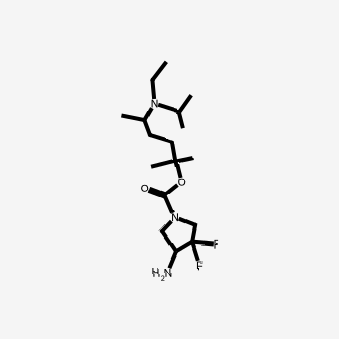 CCN(C(C)C)C(C)CCC(C)(C)OC(=O)N1CC(N)C(F)(F)C1